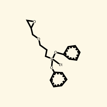 CC[Si](CCCOCC1CO1)(Oc1ccccc1)Oc1ccccc1